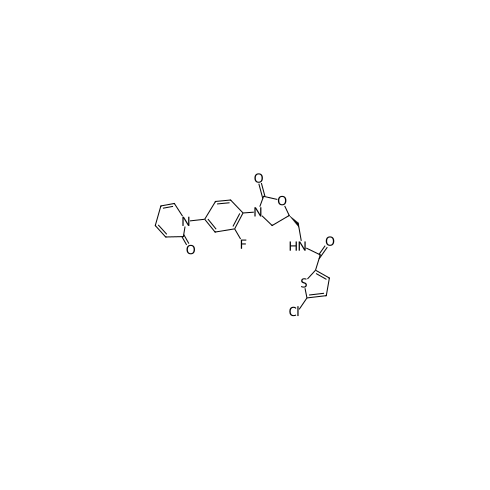 O=C(NC[C@H]1CN(c2ccc(-n3ccccc3=O)cc2F)C(=O)O1)c1ccc(Cl)s1